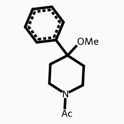 COC1(c2ccccc2)CCN(C(C)=O)CC1